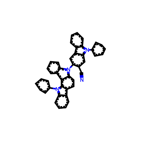 N#Cc1cc2c(cc1-n1c3ccccc3c3c1ccc1c4ccccc4n(-c4ccccc4)c13)c1ccccc1n2-c1ccccc1